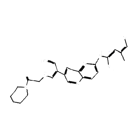 CC(C)C(=C/N)/C=C(\N)Nc1ccc2ncc(/C(C=N)=C/NCC(=O)N3CCCCC3)cc2n1